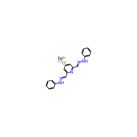 C(=NNc1ccccc1)c1cccc(C=NNc2ccccc2)n1.[Cl-].[Cl-].[Fe+2]